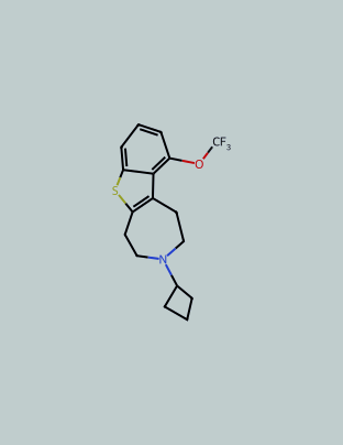 FC(F)(F)Oc1cccc2sc3c(c12)CCN(C1CCC1)CC3